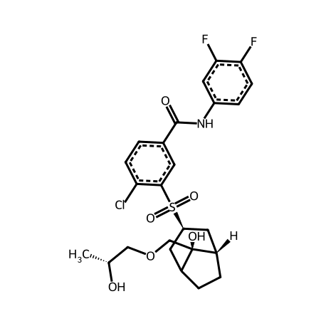 C[C@@H](O)COC[C@@]1(O)C2CC[C@H]1C[C@H](S(=O)(=O)c1cc(C(=O)Nc3ccc(F)c(F)c3)ccc1Cl)C2